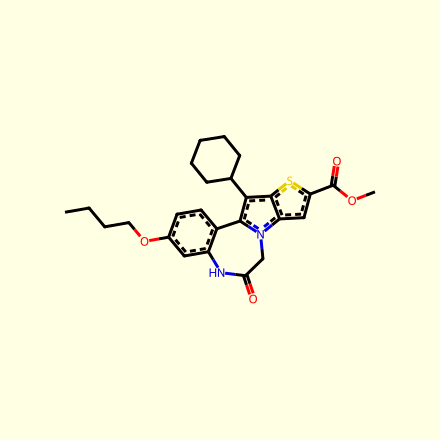 CCCCOc1ccc2c(c1)NC(=O)Cn1c-2c(C2CCCCC2)c2sc(C(=O)OC)cc21